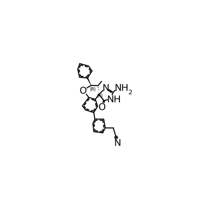 CC1[C@H](c2ccccc2)Oc2ccc(-c3cccc(CC#N)c3)cc2[C@]12N=C(N)NC2=O